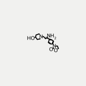 N[C@H](CCN1CCC(O)CC1)c1ccc(N2CCOC2=O)cc1